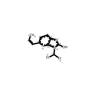 C/C=C\c1ccc2nc(O)n(C(CC)CC)c2n1